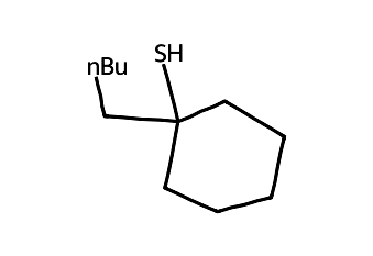 CCCCCC1(S)CCCCC1